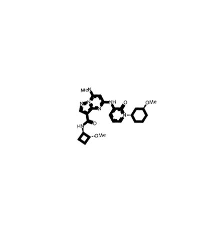 CNc1cc(Nc2cccn([C@H]3CCC[C@H](OC)C3)c2=O)nc2c(C(=O)N[C@@H]3CC[C@H]3OC)cnn12